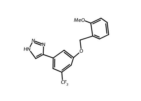 COc1ccccc1COc1cc(-c2c[nH]nn2)cc(C(F)(F)F)c1